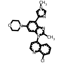 Cc1nc2c(-c3cn(C)cn3)cc(N3CCOCC3)cc2n1-c1ccnc2c(Cl)cccc12